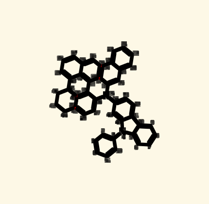 c1ccc(-n2c3ccccc3c3ccc(N(c4ccc5ccccc5c4)c4ccccc4-c4cccc5cccc(C6CCCCC6)c45)cc32)cc1